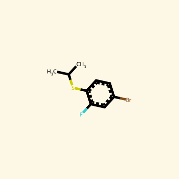 CC(C)Sc1ccc(Br)cc1F